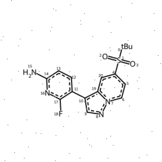 CC(C)(C)S(=O)(=O)c1ccn2ncc(-c3ccc(N)nc3F)c2c1